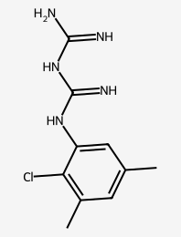 Cc1cc(C)c(Cl)c(NC(=N)NC(=N)N)c1